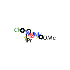 COc1ccc(SNC(=O)C[C@H]2CCC(c3ccc(Cl)cc3)N(CCSC(C)C)C2=O)cc1